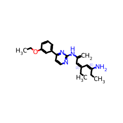 C=C(/C=C(\C=C(\N)CC)CC)Nc1nccc(-c2cccc(OCC)c2)n1